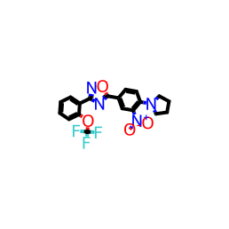 O=[N+]([O-])c1cc(-c2nc(-c3ccccc3OC(F)(F)F)no2)ccc1N1CCCC1